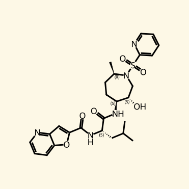 CC(C)C[C@H](NC(=O)c1cc2ncccc2o1)C(=O)N[C@H]1CC[C@@H](C)N(S(=O)(=O)c2ccccn2)C[C@@H]1O